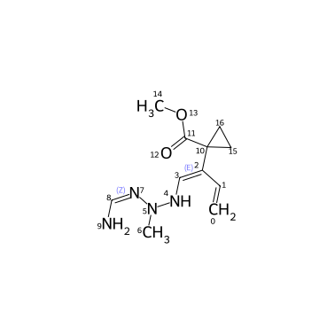 C=C/C(=C\NN(C)/N=C\N)C1(C(=O)OC)CC1